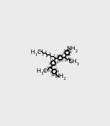 CCCCCCCCC(c1ccc(C(CCC)c2ccc(N)cc2)cc1)c1ccc(C(CCC)c2ccc(N)cc2)cc1